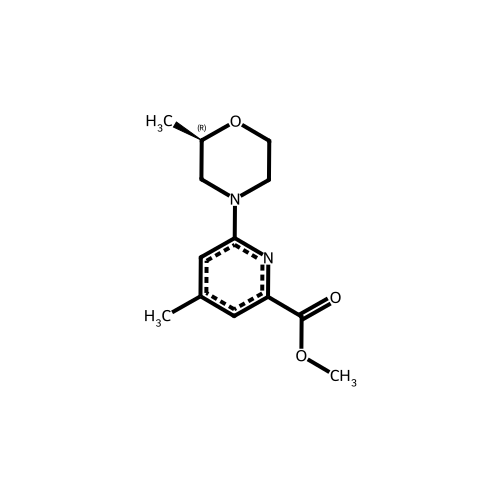 COC(=O)c1cc(C)cc(N2CCO[C@H](C)C2)n1